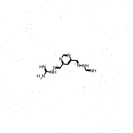 N=CN/N=C/c1cc(/C=N/NC(=N)N)ncn1